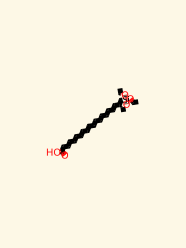 CCO[Si](CCCCCCCCCCCCCCCCCCCC(=O)O)(OCC)OCC